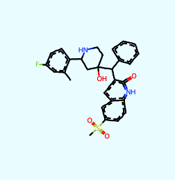 Cc1cc(F)ccc1C1CC(O)(C(c2ccccc2)c2cc3cc(S(C)(=O)=O)ccc3[nH]c2=O)CCN1